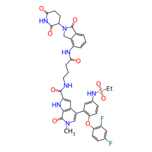 CCS(=O)(=O)Nc1ccc(Oc2ccc(F)cc2F)c(-c2cn(C)c(=O)c3[nH]c(C(=O)NCCCC(=O)Nc4cccc5c4CN(C4CCC(=O)NC4=O)C5=O)cc23)c1